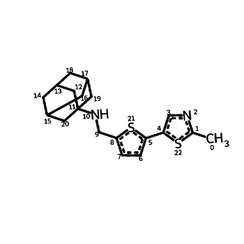 Cc1ncc(-c2ccc(CNC34CC5CC(CC(C5)C3)C4)s2)s1